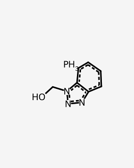 OCn1nnc2ccccc21.P